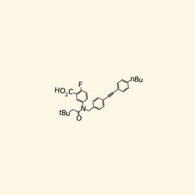 CCCCc1ccc(C#Cc2ccc(CN(C(=O)CC(C)(C)C)c3ccc(F)c(C(=O)O)c3)cc2)cc1